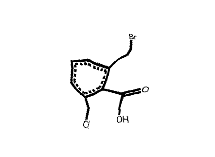 O=C(O)c1c(Cl)cccc1CBr